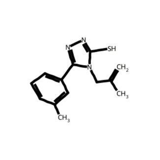 C=C(C)Cn1c(S)nnc1-c1cccc(C)c1